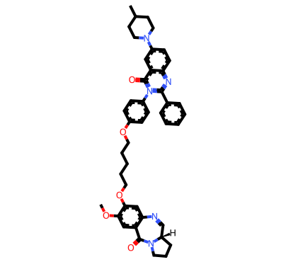 COc1cc2c(cc1OCCCCCOc1ccc(-n3c(-c4ccccc4)nc4ccc(N5CCC(C)CC5)cc4c3=O)cc1)N=C[C@@H]1CCCN1C2=O